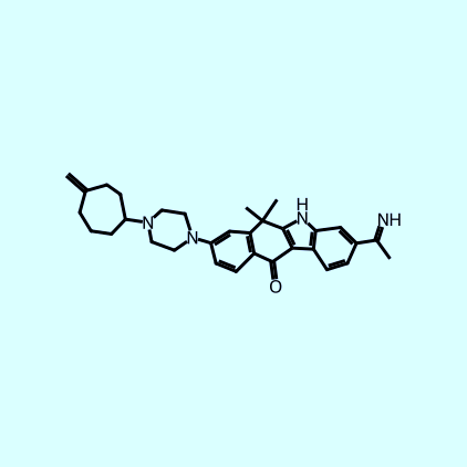 C=C1CCCC(N2CCN(c3ccc4c(c3)C(C)(C)c3[nH]c5cc(C(C)=N)ccc5c3C4=O)CC2)CC1